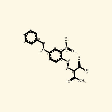 CC(=O)C(N=Nc1ccc(OCc2ccccc2)cc1[N+](=O)[O-])C(=O)O